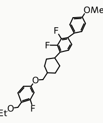 CCOCc1ccc(OCC2CCC(c3ccc(-c4ccc(OC)cc4)c(F)c3F)CC2)cc1F